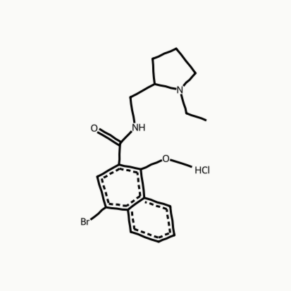 CCN1CCCC1CNC(=O)c1cc(Br)c2ccccc2c1OC.Cl